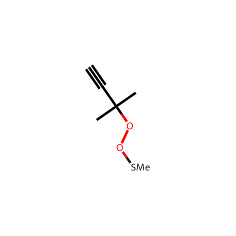 C#CC(C)(C)OO[SH4]C